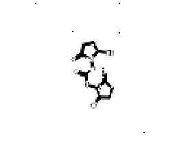 O=C(OC1C(=O)CCC1=O)ON1C(=O)CCC1O